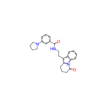 O=C(NCCc1c2n(c3ccccc13)C(=O)CCC2)c1cccc(N2CCCC2)c1